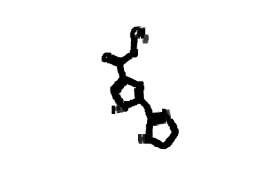 COC(=O)c1c[nH]c(C2=NCCN2)n1